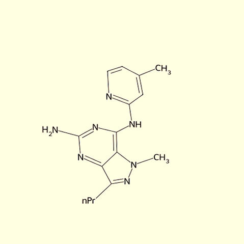 CCCc1nn(C)c2c(Nc3cc(C)ccn3)nc(N)nc12